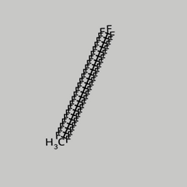 CC(F)(F)C(F)(F)C(F)(F)C(F)(F)C(F)(F)C(F)(F)C(F)(F)C(F)(F)C(F)(F)C(F)(F)C(F)(F)C(F)(F)C(F)(F)C(F)(F)C(F)(F)C(F)(F)C(F)(F)C(F)(F)C(F)(F)C(F)(F)C(F)(F)C(F)(F)C(F)(F)C(F)(F)F